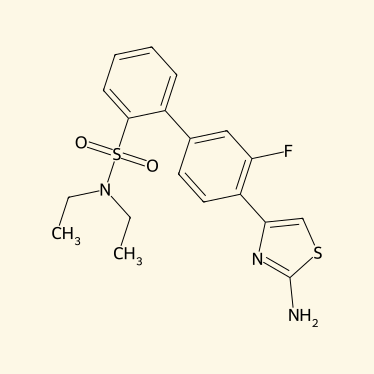 CCN(CC)S(=O)(=O)c1ccccc1-c1ccc(-c2csc(N)n2)c(F)c1